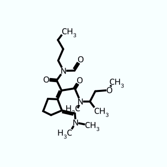 CCCCN(C=O)C(=O)/C(C(=O)N(C)C(C)COC)=C1\CCC\C1=C/N(C)C